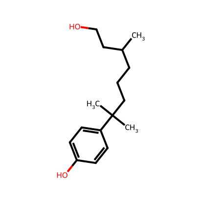 CC(CCO)CCCC(C)(C)c1ccc(O)cc1